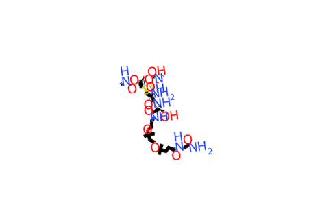 CNC(=O)O[C@H](COC(O)NC)C[S+]([O-])C[C@H](N)C(=O)N[C@@H](CO)C(=O)NCCOC(C)(C)CCOC(C)(C)CCC(=O)NCC(N)=O